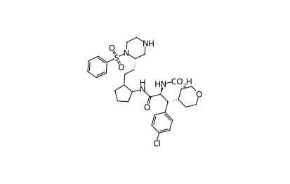 O=C(O)N[C@H](C(=O)NC1CCCC1CC[C@H]1CNCCN1S(=O)(=O)c1ccccc1)[C@@H](c1ccc(Cl)cc1)C1CCOCC1